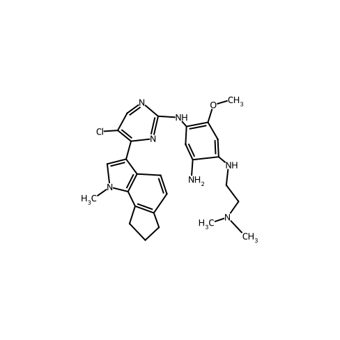 COc1cc(NCCN(C)C)c(N)cc1Nc1ncc(Cl)c(-c2cn(C)c3c4c(ccc23)CCC4)n1